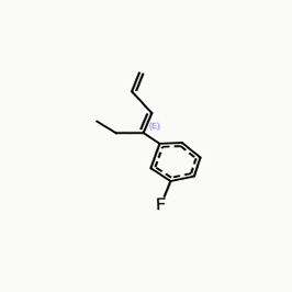 C=C/C=C(\CC)c1cccc(F)c1